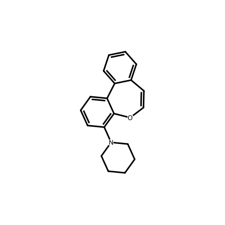 C1=Cc2ccccc2-c2cccc(N3CCCCC3)c2O1